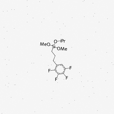 CO[Si](CCCc1cc(F)c(F)c(F)c1F)(OC)OC(C)C